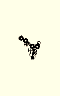 COc1cccc([C@]2(CNS(=O)(=O)N(C)C(=O)OC(C)(C)C)CC[C@@H](NCc3ccc(-c4ccccc4)cc3)CC2)c1